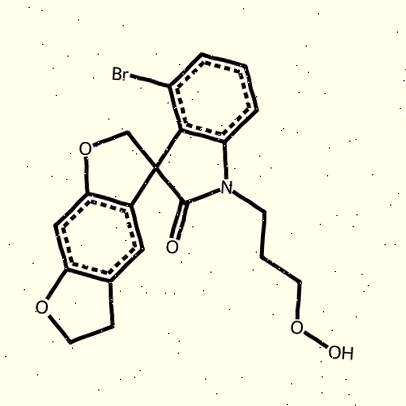 O=C1N(CCCOO)c2cccc(Br)c2C12COc1cc3c(cc12)CCO3